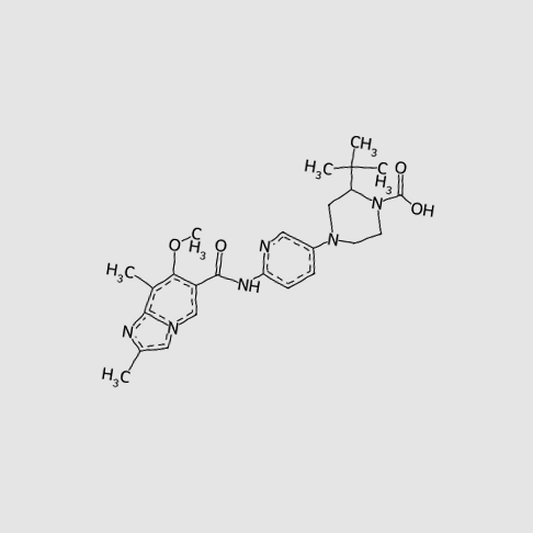 COc1c(C(=O)Nc2ccc(N3CCN(C(=O)O)C(C(C)(C)C)C3)cn2)cn2cc(C)nc2c1C